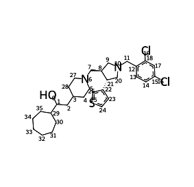 OC(CC1CCN(C[C@H]2CN(Cc3ccc(Cl)cc3Cl)C[C@@H]2c2ccsc2)CC1)C1CCCCCC1